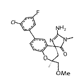 COC[C@]1(C)CC2(N=C(N)N(C)C2=O)c2cc(-c3cc(F)cc(Cl)c3)ccc2O1